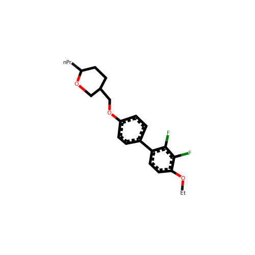 CCCC1CCC(COc2ccc(-c3ccc(OCC)c(F)c3F)cc2)CO1